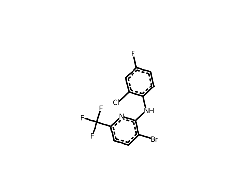 Fc1ccc(Nc2nc(C(F)(F)F)ccc2Br)c(Cl)c1